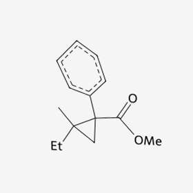 CCC1(C)CC1(C(=O)OC)c1ccccc1